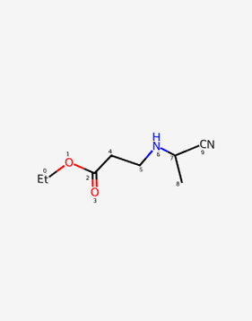 CCOC(=O)CCNC(C)C#N